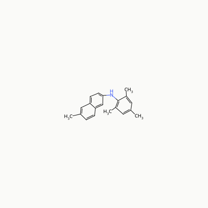 Cc1cc(C)c(Nc2ccc3cc(C)ccc3c2)c(C)c1